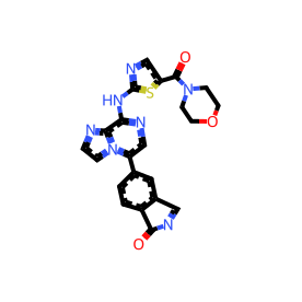 O=C1N=Cc2cc(-c3cnc(Nc4ncc(C(=O)N5CCOCC5)s4)c4nccn34)ccc21